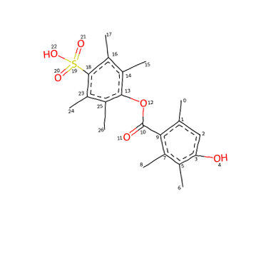 Cc1cc(O)c(C)c(C)c1C(=O)Oc1c(C)c(C)c(S(=O)(=O)O)c(C)c1C